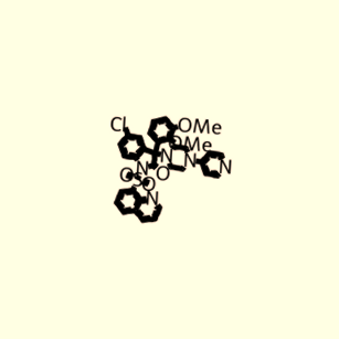 COc1cccc(C2(N3CCN(c4ccncc4)CC3)C(=O)N(S(=O)(=O)c3cccc4cccnc34)c3ccc(Cl)cc32)c1OC